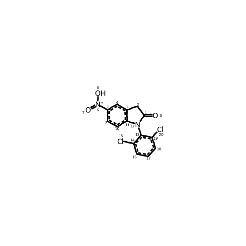 O=C1Cc2cc([N+](=O)O)ccc2N1c1c(Cl)cccc1Cl